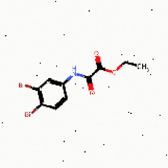 CCOC(=O)C(=O)Nc1ccc(Br)c(Br)c1